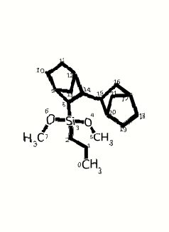 CCC[Si](OC)(OC)C1C2CCC(C2)C1C1CC2CCC1C2